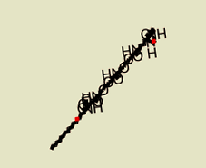 CCCCCCCCCCCCCCCCCC(=O)NC(CCC(=O)NCCOCCOCCC(=O)NCCOCCOCCC(=O)NCCCCC(NC(C)C)C(=O)NC(C)(C)C)C(=O)O